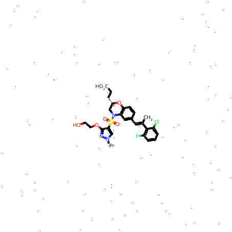 C/C(=C\c1ccc2c(c1)N(S(=O)(=O)c1cn(C(C)C)nc1OCCO)C[C@H](CCC(=O)O)O2)c1c(F)cccc1Cl